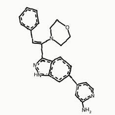 Nc1cc(-c2ccc3c(C(=Cc4ccccc4)N4CCOCC4)n[nH]c3c2)ccn1